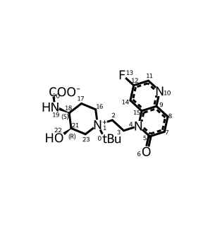 CC(C)(C)[N+]1(CCn2c(=O)ccc3ncc(F)cc32)CC[C@H](NC(=O)[O-])[C@H](O)C1